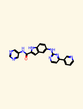 O=C(Nc1cncnc1)c1cc2cc(Nc3nccc(-c4cccnc4)n3)ccc2[nH]1